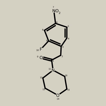 O=C(Cc1ccc([N+](=O)[O-])cc1F)N1CCOCC1